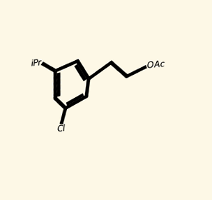 CC(=O)OCCc1cc(Cl)cc(C(C)C)c1